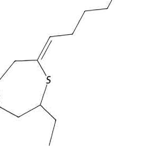 CCCCCC=C1CCCCC(CC)S1